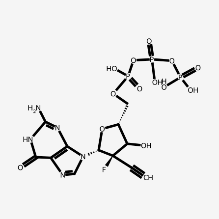 C#C[C@@]1(F)C(O)[C@@H](COP(=O)(O)OP(=O)(O)OP(=O)(O)O)O[C@H]1n1cnc2c(=O)[nH]c(N)nc21